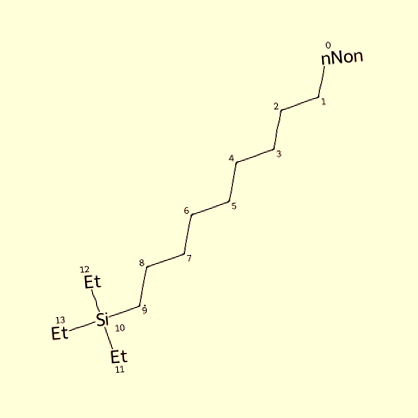 CCCCCCCCCCCCCCCCC[CH][Si](CC)(CC)CC